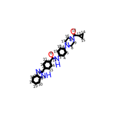 O=C(Nc1ccc(N2CCN(C(=O)C3CC3)CC2)cc1)c1ccc(-c2nc3ccccc3[nH]2)cc1